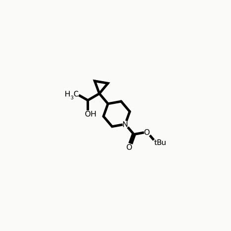 CC(O)C1(C2CCN(C(=O)OC(C)(C)C)CC2)CC1